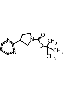 CC(C)(C)OC(=O)N1CCC(c2ncccn2)C1